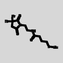 CCC1(C(C)C)CC(=O)N(CCNC(=O)CCCSC(C)(C)C)C1=O